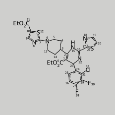 CCOC(=O)C1=C(C2CCN(c3ncc(C(=O)OCC)s3)CC2)NC(c2nccs2)=NC1c1ccc(F)c(F)c1Cl